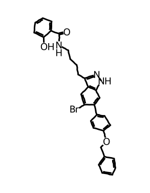 O=C(NCCCCc1n[nH]c2cc(-c3ccc(OCc4ccccc4)cc3)c(Br)cc12)c1ccccc1O